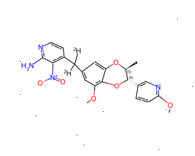 [2H]C([2H])(c1cc(OC)c2c(c1)O[C@@H](C)[C@H](c1ccc(OC)nc1)O2)c1ccnc(N)c1[N+](=O)[O-]